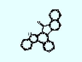 O=C1c2c(ccc3ccccc23)-c2c1c1[nH]c3ccccc3c1c1ccccc21